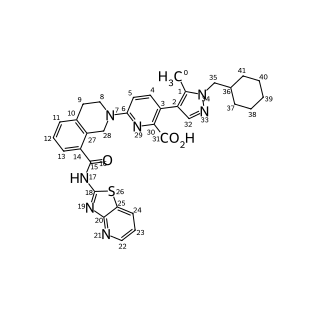 Cc1c(-c2ccc(N3CCc4cccc(C(=O)Nc5nc6ncccc6s5)c4C3)nc2C(=O)O)cnn1CC1CCCCC1